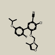 CC1=COCN1COc1cc(Cl)c(C#N)cc1-c1cc(OC(C)C)ccc1F